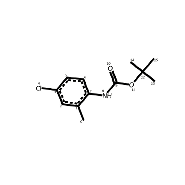 Cc1cc(Cl)ccc1NC(=O)OC(C)(C)C